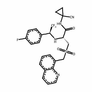 N#CC1(NC(=O)[C@H](CS(=O)(=O)Cc2cccc3cccnc23)N[C@@H](c2ccc(F)cc2)C(F)(F)F)CC1